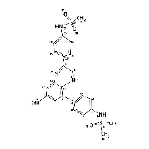 CC(C)(C)c1cc(-c2ccc(NS(C)(=O)=O)cc2)c2ncc(-c3ccc(NS(C)(=O)=O)cc3)nc2c1